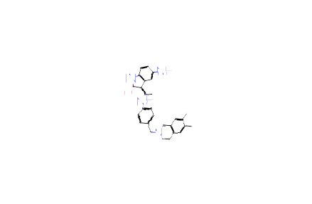 C/C(Nc1ccc(CN2CCc3cc(C)c(C)cc3C2)cc1)=C1/C(=O)Nc2ccc(N)cc21